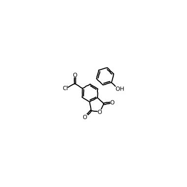 O=C(Cl)c1ccc2c(c1)C(=O)OC2=O.Oc1ccccc1